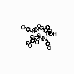 COC(=O)c1cc(Cl)c(OCC(=O)N2CCN(Cc3ccc(Cl)cc3)CC2)c(Cl)c1.O=C(COc1ccc(S(=O)(=O)O)c2ccccc12)N1CCN(Cc2ccc(Cl)cc2)CC1